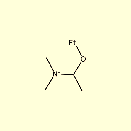 CCOC(C)[N+](C)C